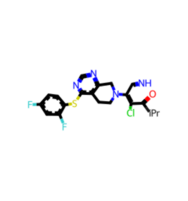 CC(C)C(=O)/C(Cl)=C(\C=N)N1CCc2c(ncnc2Sc2ccc(F)cc2F)C1